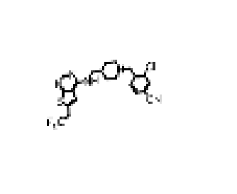 N#Cc1ccc(CN2CCC(CNc3ncnc4sc(CC(F)(F)F)cc34)CC2)c(Cl)c1